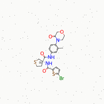 Cc1cc(NC(=O)[C@@]2(NC(=O)c3ccc(Br)s3)CCSC2)ccc1N1CCOCC1=O